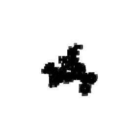 CCc1cnn([C@H]2C[C@@H](n3cnc4c(NCC(c5ccccc5)c5ccccc5)nc(N5CC[C@@H](N(OC(=O)C(F)(F)F)C(=O)NCc6cn(C)cn6)C5)nc43)[C@H](O)[C@@H]2O)c1